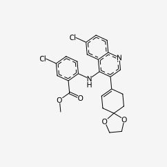 COC(=O)c1cc(Cl)ccc1Nc1c(C2=CCC3(CC2)OCCO3)cnc2ccc(Cl)cc12